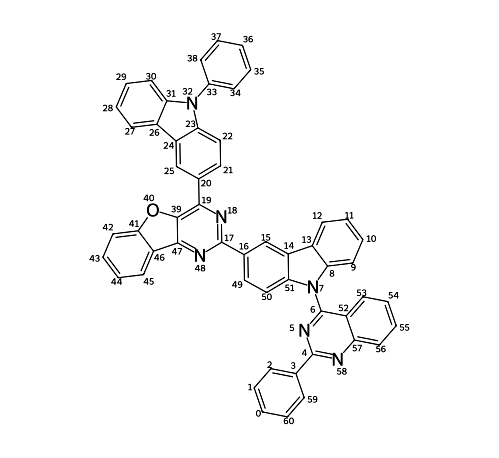 c1ccc(-c2nc(-n3c4ccccc4c4cc(-c5nc(-c6ccc7c(c6)c6ccccc6n7-c6ccccc6)c6oc7ccccc7c6n5)ccc43)c3ccccc3n2)cc1